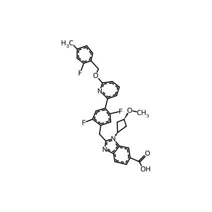 CO[C@H]1C[C@@H](n2c(Cc3cc(F)c(-c4cccc(OCc5ccc(C)cc5F)n4)cc3F)nc3ccc(C(=O)O)cc32)C1